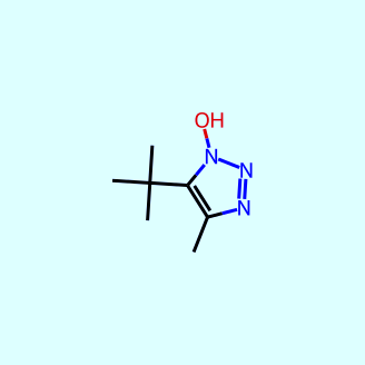 Cc1nnn(O)c1C(C)(C)C